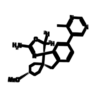 [2H]C1([2H])OC(N)=N[C@]12c1cc(-c3cncnc3C)ccc1C[C@]21CC[C@@H](OC)CC1